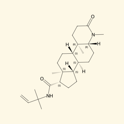 C=CC(C)(C)NC(=O)[C@H]1CC[C@H]2[C@@H]3CC[C@H]4N(C)C(=O)CC[C@]4(C)[C@H]3CC[C@]12C